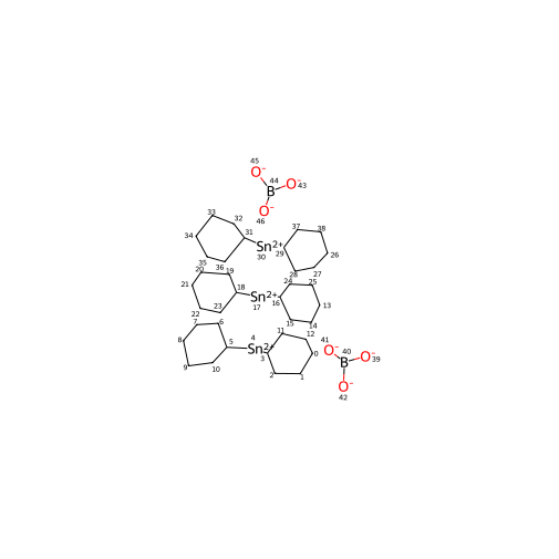 C1CC[CH]([Sn+2][CH]2CCCCC2)CC1.C1CC[CH]([Sn+2][CH]2CCCCC2)CC1.C1CC[CH]([Sn+2][CH]2CCCCC2)CC1.[O-]B([O-])[O-].[O-]B([O-])[O-]